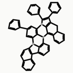 C1=CC2=C3B4c5c(cc(-c6ccccc6)cc5-n5c6ccc7ccccc7c6c6cccc4c65)-n4c3c(c(-c3ccccc3)c4-c3ccccc3)CC2C=C1